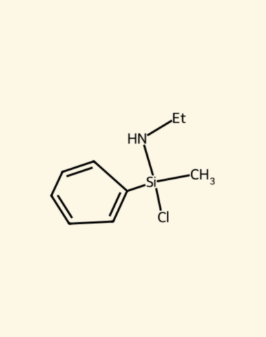 CCN[Si](C)(Cl)c1ccccc1